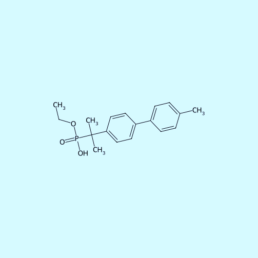 CCOP(=O)(O)C(C)(C)c1ccc(-c2ccc(C)cc2)cc1